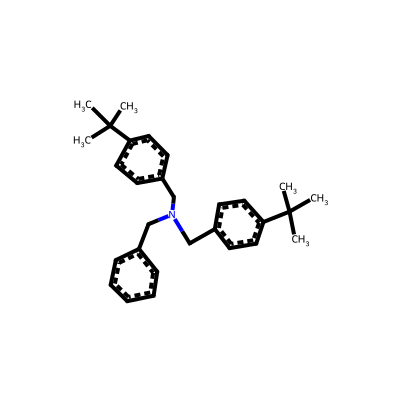 CC(C)(C)c1ccc(CN(Cc2ccccc2)Cc2ccc(C(C)(C)C)cc2)cc1